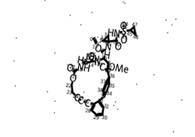 C=C[C@@H]1C[C@]1(NC(=O)[C@@H]1C[C@]2(OC)CN1C(=O)[C@H](C(C)(C)C)NC(=O)OCCCCCc1ccccc1-c1ccc2cc1)C(=O)NS(=O)(=O)C1CC1